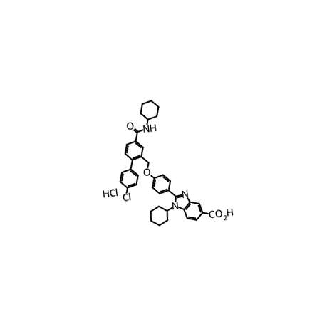 Cl.O=C(O)c1ccc2c(c1)nc(-c1ccc(OCc3cc(C(=O)NC4CCCCC4)ccc3-c3ccc(Cl)cc3)cc1)n2C1CCCCC1